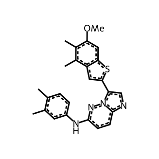 COc1cc2sc(-c3cnc4ccc(Nc5ccc(C)c(C)c5)nn34)cc2c(C)c1C